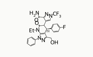 CCN1C(=O)C(c2cn(C(F)(F)F)nc2C(N)=O)[C@@H](c2ccc(F)cc2)c2c(CO)nn(-c3ccccc3)c21